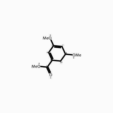 COC(=O)C1=CC(OC)=CC(OC)C1